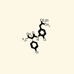 CCOC(=O)C(C)Cc1ccc(Cl)c(NC(=O)[C@H](C2C=CC(CC)=CC2)[C@@H](C)C(F)(F)F)c1